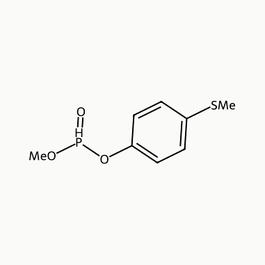 CO[PH](=O)Oc1ccc(SC)cc1